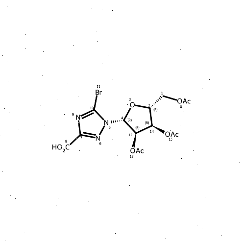 CC(=O)OC[C@H]1O[C@@H](n2nc(C(=O)O)nc2Br)[C@H](OC(C)=O)[C@@H]1OC(C)=O